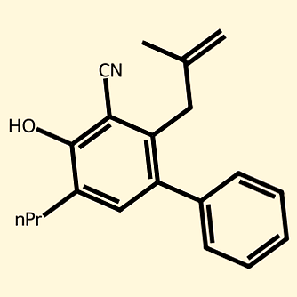 C=C(C)Cc1c(-c2ccccc2)cc(CCC)c(O)c1C#N